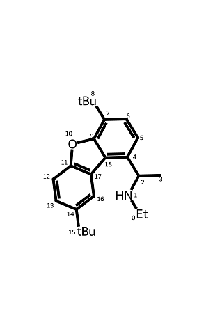 CCNC(C)c1ccc(C(C)(C)C)c2oc3ccc(C(C)(C)C)cc3c12